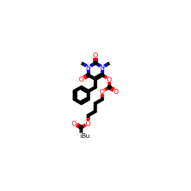 CCC(C)C(=O)OCCCCOC(=O)Oc1c(Cc2ccccc2)c(=O)n(C)c(=O)n1C